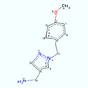 COc1ccc(Cn2cc(CN)cn2)cc1